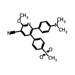 COc1nc(-c2ccc(N(C)C)cc2)c(-c2ccc(S(C)(=O)=O)cc2)cc1C#N